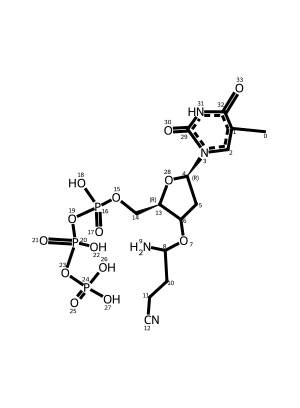 Cc1cn([C@H]2CC(OC(N)CCC#N)[C@@H](COP(=O)(O)OP(=O)(O)OP(=O)(O)O)O2)c(=O)[nH]c1=O